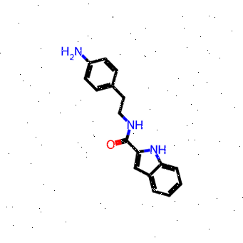 Nc1ccc(CCNC(=O)c2cc3ccccc3[nH]2)cc1